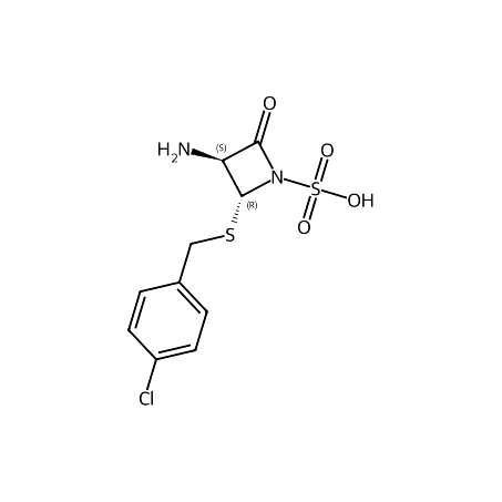 N[C@H]1C(=O)N(S(=O)(=O)O)[C@@H]1SCc1ccc(Cl)cc1